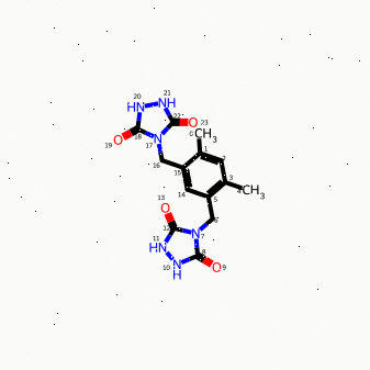 Cc1cc(C)c(Cn2c(=O)[nH][nH]c2=O)cc1Cn1c(=O)[nH][nH]c1=O